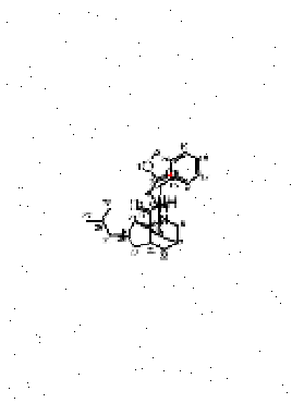 COC(=O)CCC1C2CNC3(C(=O)NCc4ccccc4)C(C2)CN(CC(C)C)C13